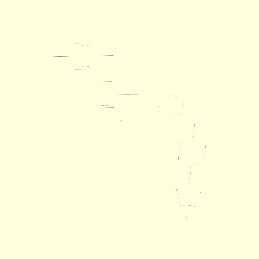 Cc1nc(C(C)n2cc(NC(=O)c3nc(-c4c(C(F)F)ccc(Cl)c4F)cnc3CO)cn2)cnc1N1C[C@H]2C[C@H]2C1=O